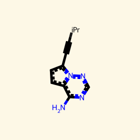 CC(C)C#Cc1ccc2c(N)ncnn12